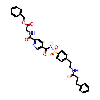 O=C(CCc1ccccc1)NCCc1ccc(S(=O)(=O)NC(=O)c2ccc(C(=O)NCC(=O)OCc3ccccc3)nc2)cc1